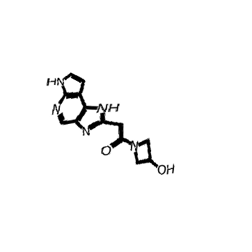 O=C(Cc1nc2cnc3[nH]ccc3c2[nH]1)N1CC(O)C1